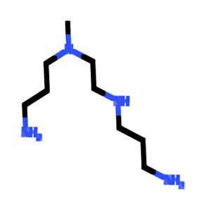 CN(CCCN)CCNCCCN